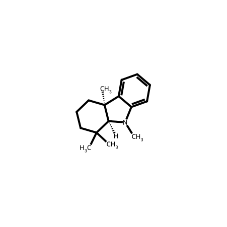 CN1c2ccccc2[C@]2(C)CCCC(C)(C)[C@H]12